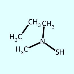 CC.CN(C)S